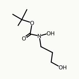 CC(C)(C)OC(=O)N(O)CCCO